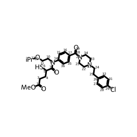 COC(=O)CCC(S)C(=O)N(CCOC(C)C)c1ccc(C(=O)N2CCN(CCc3ccc(Cl)cc3)CC2)cc1